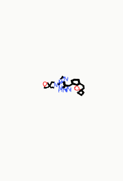 c1cc2c(c(-c3n[nH]c4nc(N5CCC6(CCOC6)CC5)n5ccnc5c34)c1)OC1(CCC1)CC2